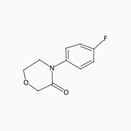 O=C1COCCN1c1ccc(F)cc1